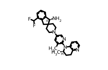 Cc1cc(N2CCC3(CC2)Cc2c(C(F)F)cccc2[C@H]3N)cnc1N1c2cccnc2CC[C@H]1C